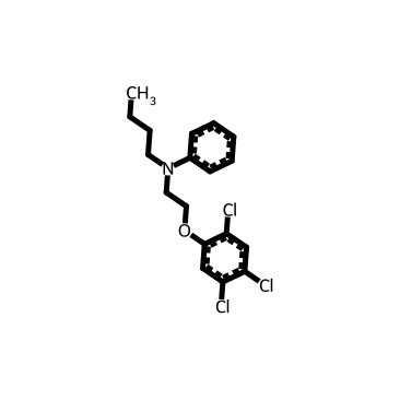 CCCCN(CCOc1cc(Cl)c(Cl)cc1Cl)c1ccccc1